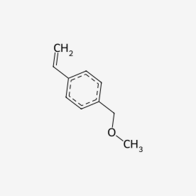 C=Cc1ccc(COC)cc1